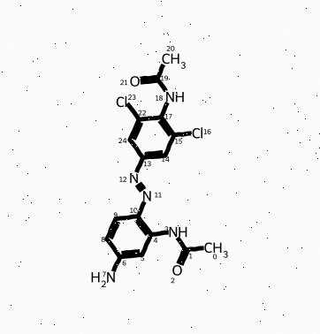 CC(=O)Nc1cc(N)ccc1N=Nc1cc(Cl)c(NC(C)=O)c(Cl)c1